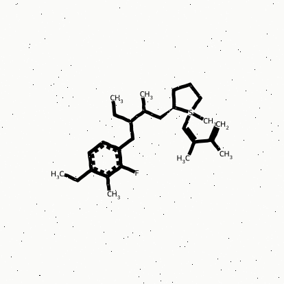 C=C(C)/C(C)=C\S1(C)CCC[C@@H]1CC(C)C(CC)Cc1ccc(CC)c(C)c1F